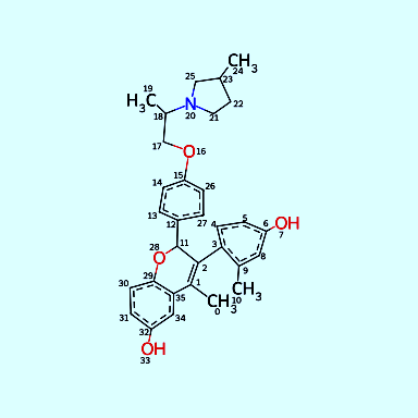 CC1=C(c2ccc(O)cc2C)C(c2ccc(OCC(C)N3CCC(C)C3)cc2)Oc2ccc(O)cc21